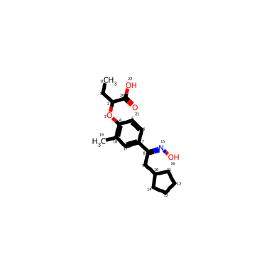 CCC(Oc1ccc(C(CC2CCCC2)=NO)cc1C)C(=O)O